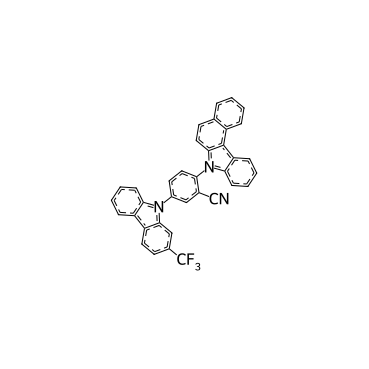 N#Cc1cc(-n2c3ccccc3c3ccc(C(F)(F)F)cc32)ccc1-n1c2ccccc2c2c3ccccc3ccc21